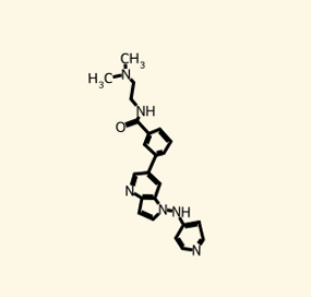 CN(C)CCNC(=O)c1cccc(-c2cnc3ccn(Nc4ccncc4)c3c2)c1